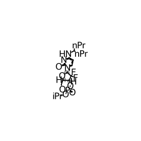 CCCC(CCC)Nc1ccn([C@@H]2O[C@@H]3COP(=O)(OC(C)C)O[C@@H]3C2(F)F)c(=O)n1